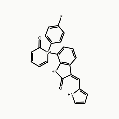 O=C1Nc2c(cccc2[N+]2(c3ccc(F)cc3)C=CC=CC2=O)/C1=C/c1ccc[nH]1